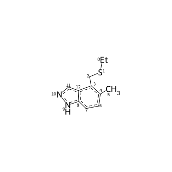 CCSCc1c(C)ccc2[nH]ncc12